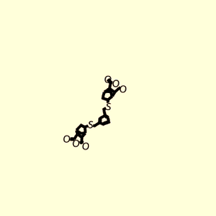 O=C1OC(=O)C2C3CC(CC3SCc3cccc(CSC4CC5CC4C4C(=O)OC(=O)C54)c3)C12